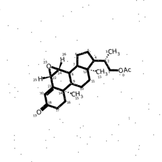 CC(=O)OC[C@@H](C)C1CCC2C3C(CC[C@@]21C)[C@@]1(C)CCC(=O)C=C1[C@@H]1O[C@H]31